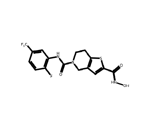 O=C(NO)c1cc2c(s1)CCN(C(=O)Nc1cc(C(F)(F)F)ccc1F)C2